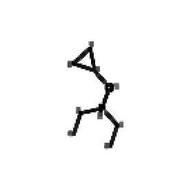 CCP(CC)OC1CC1